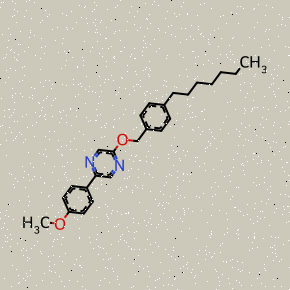 CCCCCCCc1ccc(COc2cnc(-c3ccc(OC)cc3)cn2)cc1